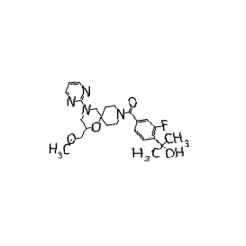 COCC1CN(c2ncccn2)CC2(CCN(C(=O)c3ccc(C(C)(C)O)c(F)c3)CC2)O1